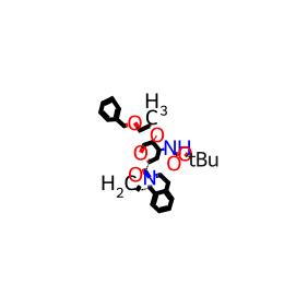 C=C[C@H]1c2ccccc2CCN1C(=O)[C@H]1C[C@H](NC(=O)OC(C)(C)C)[C@@H](O[C@@H](C)COCc2ccccc2)CO1